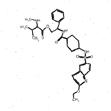 CCOc1ccc2cc(S(=O)(=O)NC3CCC(C(=O)NC(COC(=O)C(NC)C(C)C)c4ccccc4)CC3)ccc2n1